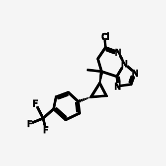 CC1([C@H]2C[C@@H]2c2ccc(C(F)(F)F)cc2)CC(Cl)=Nn2ncnc21